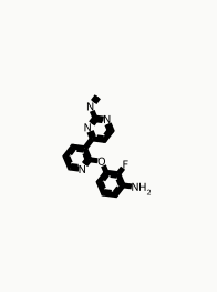 C=Nc1nccc(-c2cccnc2Oc2cccc(N)c2F)n1